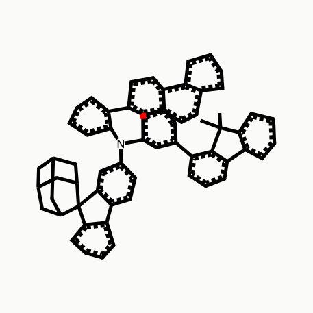 CC1(C)c2ccccc2-c2cccc(-c3cccc(N(c4ccc5c(c4)C4(c6ccccc6-5)C5CC6CC(C5)CC4C6)c4ccccc4-c4ccc5c(ccc6ccccc65)c4)c3)c21